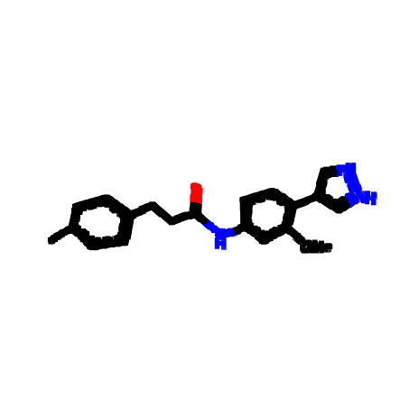 COc1cc(NC(=O)CCc2ccc(C)cc2)ccc1-c1cn[nH]c1